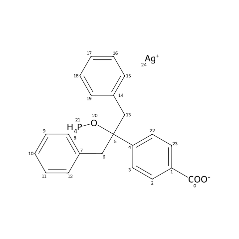 O=C([O-])c1ccc(C(Cc2ccccc2)(Cc2ccccc2)O[PH4])cc1.[Ag+]